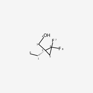 CC[C@@]1(CO)CC1(F)F